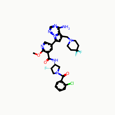 COc1ncc(-c2cc(CN3CCC(F)(F)CC3)c3c(N)ncnn23)cc1C(=O)N[C@@H]1CN(C(=O)c2ccccc2Cl)C[C@@H]1F